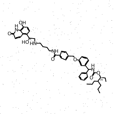 CCCC(CCC)[C@H](CC)OC(=O)NC(c1ccccc1)c1cccc(OCc2ccc(C(=O)NCCCCNC[C@H](O)c3ccc(O)c4[nH]c(=O)ccc34)cc2)c1